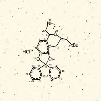 CC(C)(C)CC1Cc2c(ccc3c2OC(c2ccccc2)(c2ccccc2)O3)C(CN)O1.Cl